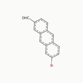 O=Cc1ccc2cc3ccc(Br)cc3cc2c1